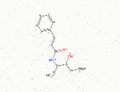 COCC(O)C(NC(=O)/C=C/c1ccccc1)C(=O)O